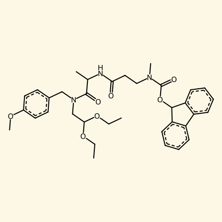 CCOC(CN(Cc1ccc(OC)cc1)C(=O)C(C)NC(=O)CCN(C)C(=O)OC1c2ccccc2-c2ccccc21)OCC